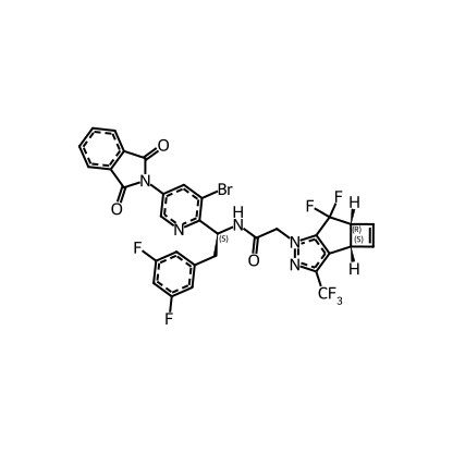 O=C(Cn1nc(C(F)(F)F)c2c1C(F)(F)[C@@H]1C=C[C@H]21)N[C@@H](Cc1cc(F)cc(F)c1)c1ncc(N2C(=O)c3ccccc3C2=O)cc1Br